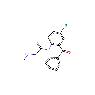 CNCC(=O)Nc1ccc(Cl)cc1C(=O)c1ccccc1